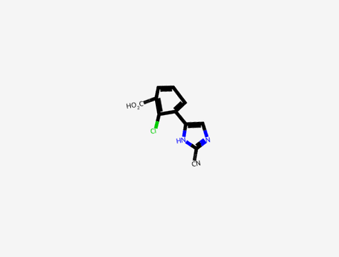 N#Cc1ncc(-c2cccc(C(=O)O)c2Cl)[nH]1